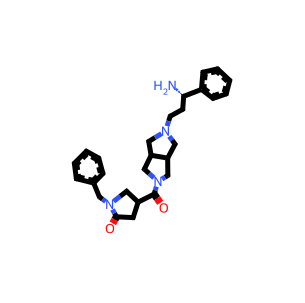 N[C@@H](CCN1CC2CN(C(=O)C3CC(=O)N(Cc4ccccc4)C3)CC2C1)c1ccccc1